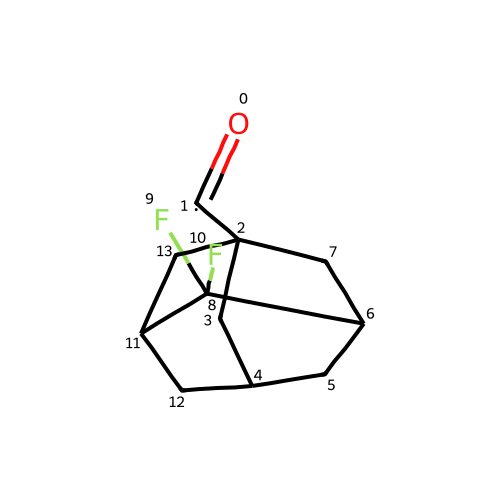 O=[C]C12CC3CC(C1)C(F)(F)C(C3)C2